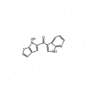 CCCn1c(C(=O)c2c[nH]c3ncccc23)cc2ccsc21